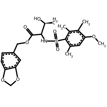 COc1cc(C)c(S(=O)(=O)NC(C(=O)OCc2ccc3c(c2)OCO3)[C@H](C)O)c(C)c1C